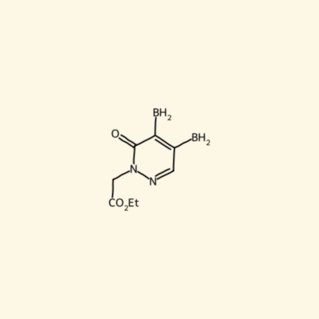 Bc1cnn(CC(=O)OCC)c(=O)c1B